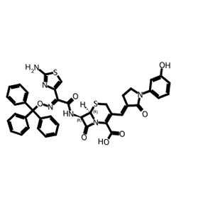 Nc1nc(C(=NOC(c2ccccc2)(c2ccccc2)c2ccccc2)C(=O)N[C@@H]2C(=O)N3C(C(=O)O)=C(C=C4CCN(c5cccc(O)c5)C4=O)CS[C@H]23)cs1